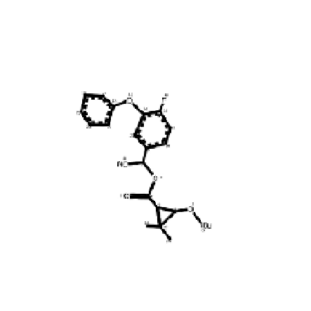 CCC(C)OC1C(C(=O)OC(C#N)c2ccc(F)c(Oc3ccccc3)c2)C1(C)C